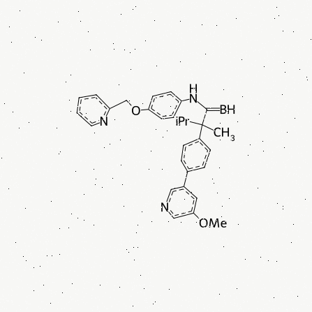 B=C(Nc1ccc(OCc2ccccn2)cc1)C(C)(c1ccc(-c2cncc(OC)c2)cc1)C(C)C